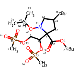 CCCCOC(=O)C1(C(COS(C)(=O)=O)OS(C)(=O)=O)CC(C(C)(C)C)CN1O[SiH](C)C